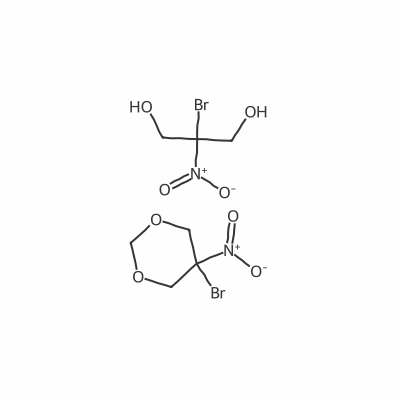 O=[N+]([O-])C(Br)(CO)CO.O=[N+]([O-])C1(Br)COCOC1